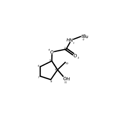 CC(C)(C)NC(=O)OC1CCCC1(C)O